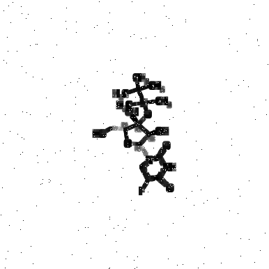 CC(C)(C)[Si](C)(C)O[C@@]1(O)[C@@H](CO)O[C@@H](n2cc(F)c(=O)[nH]c2=O)[C@@H]1O